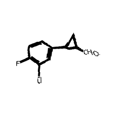 O=[C]C1CC1c1ccc(F)c(Cl)c1